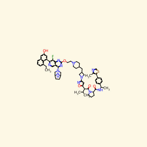 CCc1cccc2cc(O)cc(-c3ncc4c(N5CC6CCC(C5)N6)nc(OCCN5CCC(CC6CN(c7cc(C(C(=O)N8CCCC8C(=O)NC(C)c8ccc(-c9scnc9C)cc8)C(C)C)on7)C6)CC5)nc4c3F)c12